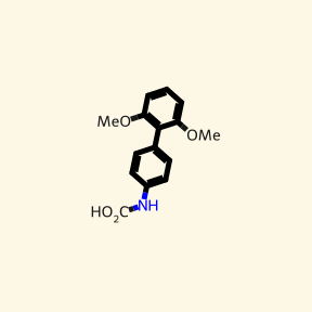 COc1cccc(OC)c1-c1ccc(NC(=O)O)cc1